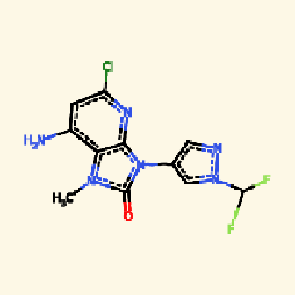 Cn1c(=O)n(-c2cnn(C(F)F)c2)c2nc(Cl)cc(N)c21